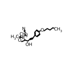 CCCCCOc1ccc(C#C[C@H](O)C2COC(C)(C)B2OC#N)cc1